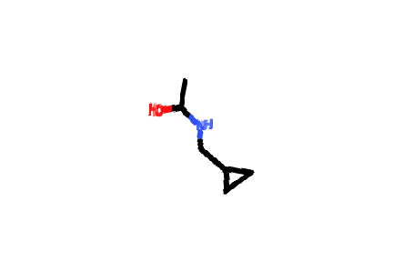 CC(O)NCC1CC1